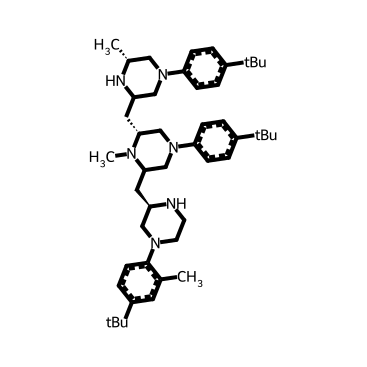 Cc1cc(C(C)(C)C)ccc1N1CCN[C@H](CC2CN(c3ccc(C(C)(C)C)cc3)C[C@@H](CC3CN(c4ccc(C(C)(C)C)cc4)C[C@@H](C)N3)N2C)C1